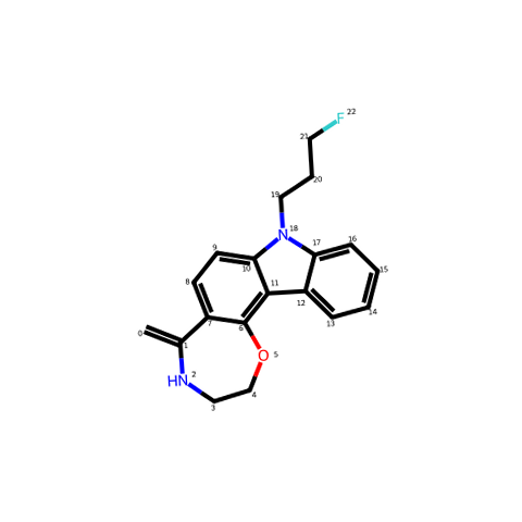 C=C1NCCOc2c1ccc1c2c2ccccc2n1CCCF